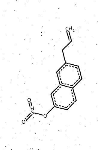 C=CCc1ccc2ccc(O[SH](=O)=O)cc2c1